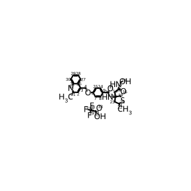 Cc1cc(COc2ccc(C(=O)NC3(CC(=O)NO)CSC(C)C3)cc2)c2ccccc2n1.O=C(O)C(F)(F)F